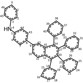 c1ccc(Nc2ccc(-c3ccc4c(-c5ccccc5)c(-c5ccccc5)c(-c5ccccc5)c(-c5ccccc5)c4c3)cc2)cc1